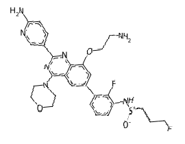 NCCOc1cc(-c2cccc(N[S+]([O-])CCCF)c2F)cc2c(N3CCOCC3)nc(-c3ccc(N)nc3)nc12